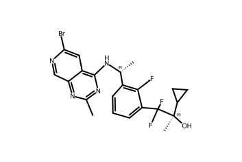 Cc1nc(N[C@H](C)c2cccc(C(F)(F)[C@](C)(O)C3CC3)c2F)c2cc(Br)ncc2n1